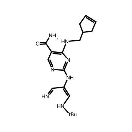 CC(C)(C)N/C=C(\C=N)Nc1ncc(C(N)=O)c(NCC2CC=CC2)n1